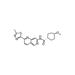 CO[C@H]1CC[C@H](C(=O)Nc2cc3nc(-c4nnc(C)s4)ccc3cn2)CC1